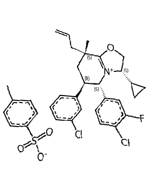 C=CC[C@@]1(C)C[C@H](c2cccc(Cl)c2)[C@@H](c2ccc(Cl)c(F)c2)[N+]2=C1OC[C@@H]2C1CC1.Cc1ccc(S(=O)(=O)[O-])cc1